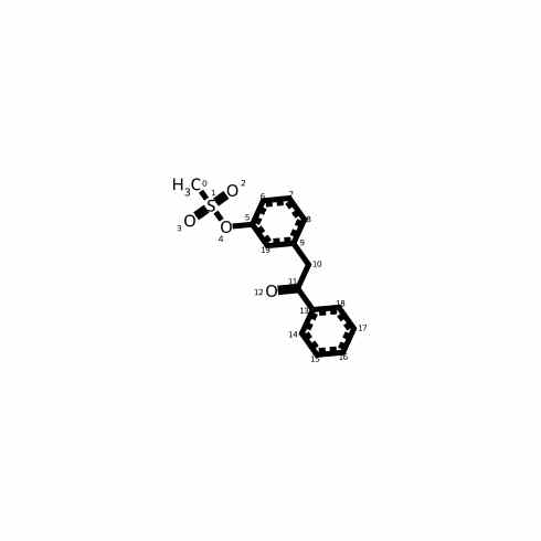 CS(=O)(=O)Oc1cccc(CC(=O)c2ccccc2)c1